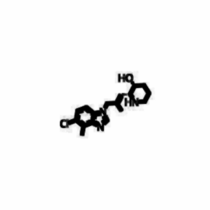 C/C(=C\[C@H]1NCCC[C@@H]1O)Cn1cnc2c(C)c(Cl)ccc21